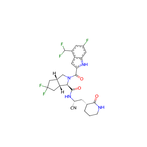 N#C[C@@H](C[C@H]1CCCNC1=O)NC(=O)[C@H]1[C@@H]2CC(F)(F)C[C@@H]2CN1C(=O)c1cc2c(C(F)F)cc(F)cc2[nH]1